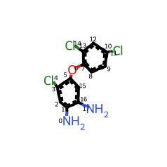 Nc1cc(Cl)c(Oc2ccc(Cl)cc2Cl)cc1N